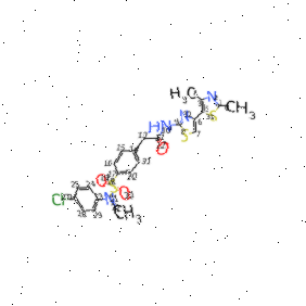 Cc1nc(C)c(-c2csc(NC(=O)Cc3ccc(S(=O)(=O)N(C)c4ccc(Cl)cc4)cc3)n2)s1